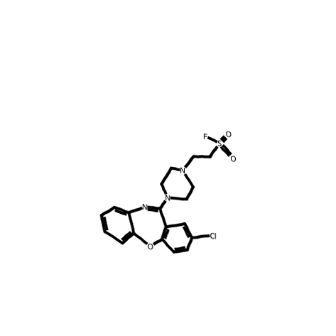 O=S(=O)(F)CCN1CCN(C2=Nc3ccccc3Oc3ccc(Cl)cc32)CC1